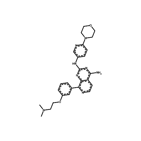 CN(C)CCOc1cccc(-c2nccc3c(N)nc(Nc4ccc(N5CCOCC5)nc4)nc23)c1